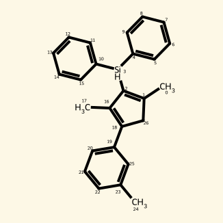 CC1=C([SiH](c2ccccc2)c2ccccc2)C(C)=C(c2cccc(C)c2)C1